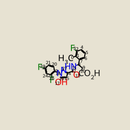 Cc1c(F)cccc1C(CC(=O)O)NC(=O)c1cc(O)n(-c2ccc(F)cc2F)n1